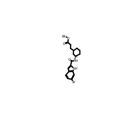 CC(C)(C)OC(=O)CCC1CCC[C@@H](NC(=O)c2cc3ccc(Br)cc3[nH]2)C1